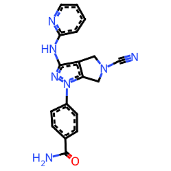 N#CN1Cc2c(Nc3ccccn3)nn(-c3ccc(C(N)=O)cc3)c2C1